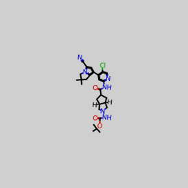 CC1(C)Cc2c(-c3cc(NC(=O)C4C[C@@H]5CN(NC(=O)OC(C)(C)C)C[C@@H]5C4)ncc3Cl)cc(C#N)n2C1